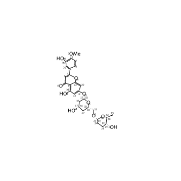 COc1ccc(-c2cc(=O)c3c(O)cc(O[C@H]4C[C@@H](O)C[C@@H](CO[C@H]5CC[C@@H](O)[C@H](C)O5)O4)cc3o2)cc1O